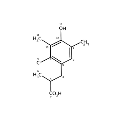 Cc1cc(CC(C)C(=O)O)c(Cl)c(C)c1O